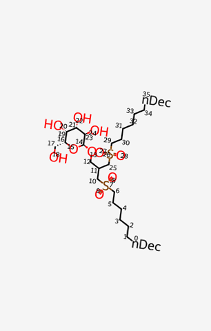 CCCCCCCCCCCCCCCCS(=O)(=O)CC(CO[C@H]1O[C@H](CO)[C@H](O)[C@H](O)[C@H]1O)CS(=O)(=O)CCCCCCCCCCCCCCCC